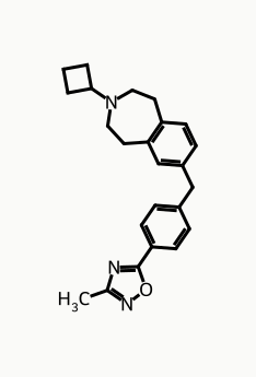 Cc1noc(-c2ccc(Cc3ccc4c(c3)CCN(C3CCC3)CC4)cc2)n1